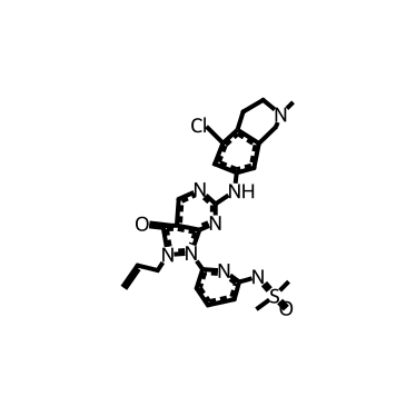 C=CCn1c(=O)c2cnc(Nc3cc(Cl)c4c(c3)CN(C)CC4)nc2n1-c1cccc(N=S(C)(C)=O)n1